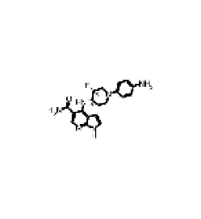 NC(=O)c1cnc2[nH]ccc2c1N[C@H]1CCN(c2ccc(N)cc2)C[C@H]1F